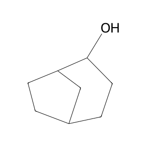 OC1CCC2CCC1C2